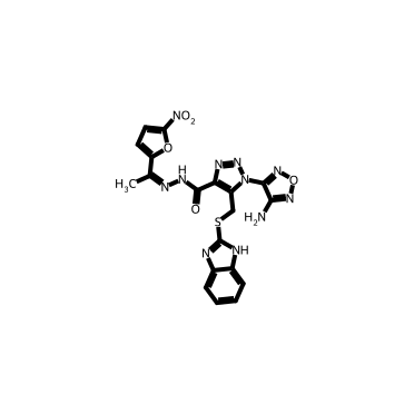 CC(=NNC(=O)c1nnn(-c2nonc2N)c1CSc1nc2ccccc2[nH]1)c1ccc([N+](=O)[O-])o1